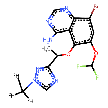 [2H]C([2H])([2H])n1cnc(C(C)Oc2c(OC(F)F)cc(Br)c3ncnc(N)c23)n1